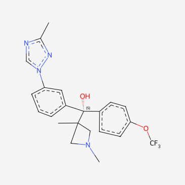 Cc1ncn(-c2cccc([C@@](O)(c3ccc(OC(F)(F)F)cc3)C3(C)CN(C)C3)c2)n1